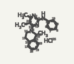 Cc1nc(Nc2ccccc2)nc(N2CCc3ccccc3[C@H]2C)c1C.Cl